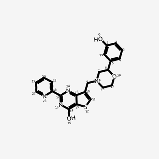 Oc1cccc(C2CN(Cc3csc4c(O)nc(-c5ccccn5)nc34)CCO2)c1